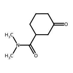 CN(C)C(=O)C1CCCC(=O)C1